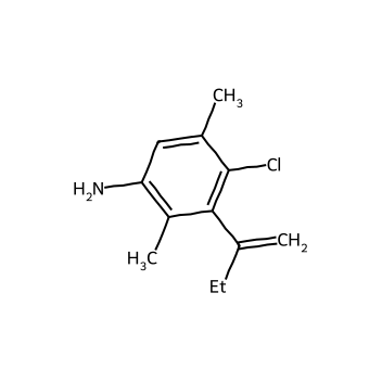 C=C(CC)c1c(C)c(N)cc(C)c1Cl